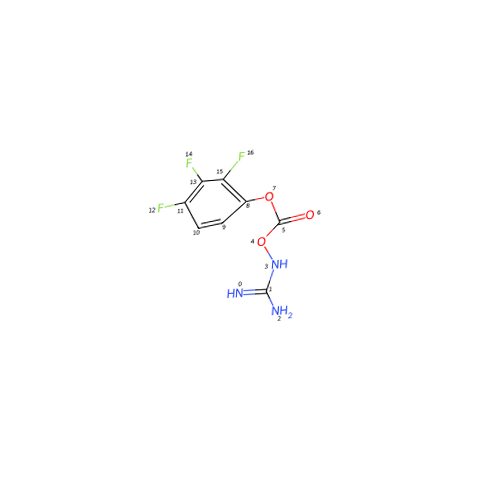 N=C(N)NOC(=O)Oc1ccc(F)c(F)c1F